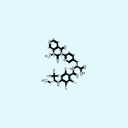 CC[C@@H](Nc1cc(F)c(C(=O)N[C@@H](Cc2ccc(-n3c(=O)c4ccncc4n(C)c3=O)nc2)C(=O)O)c(F)c1F)C(F)(F)F